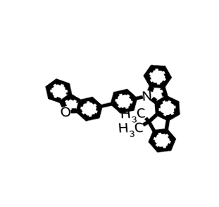 CC1(C)c2ccccc2-c2ccc3c4ccccc4n(-c4ccc(-c5ccc6oc7ccccc7c6c5)cc4)c3c21